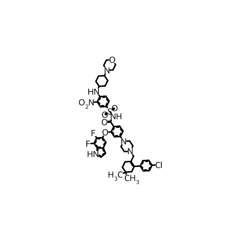 CC1(C)CCC(CN2CCN(c3ccc(C(=O)NS(=O)(=O)c4ccc(NC5CCC(N6CCOCC6)CC5)c([N+](=O)[O-])c4)c(Oc4cc5cc[nH]c5c(F)c4F)c3)CC2)=C(c2ccc(Cl)cc2)C1